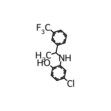 CC(Nc1cc(Cl)ccc1O)c1cccc(C(F)(F)F)c1